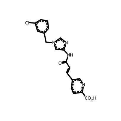 O=C(/C=C/c1ccc(C(=O)O)nc1)Nc1cn(Cc2cccc(Cl)c2)cn1